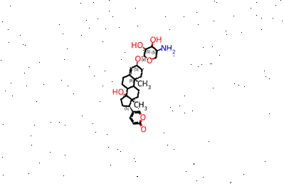 C[C@]12CC[C@H](O[C@H]3OC[C@H](N)C(O)[C@@H]3O)C=C1CCC1C2CC[C@]2(C)[C@@H](c3ccc(=O)oc3)CC[C@]12O